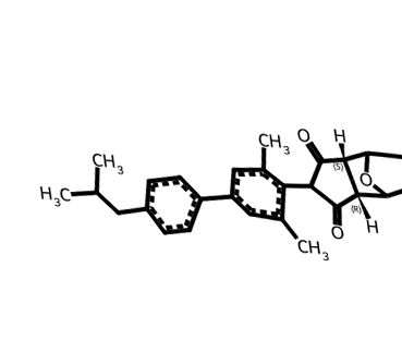 Cc1cc(-c2ccc(CC(C)C)cc2)cc(C)c1C1C(=O)[C@@H]2C3CCC(O3)[C@@H]2C1=O